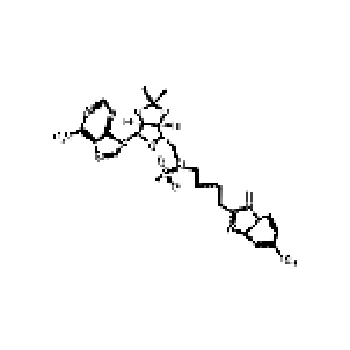 CC1(C)O[C@@H]2[C@@H](CN(CCCCC3=NC4C=C(C(C)(C)C)C=CC4N3)S(C)(=O)=O)OC(n3cnc4c(N)ncnc43)[C@@H]2O1